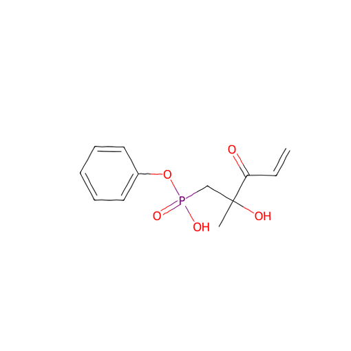 C=CC(=O)C(C)(O)CP(=O)(O)Oc1ccccc1